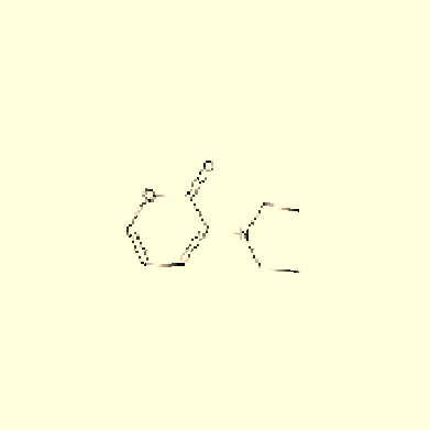 CCN(CC)c1cccoc1=O